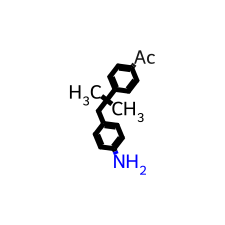 CC(=O)c1ccc(C(C)(C)Cc2ccc(N)cc2)cc1